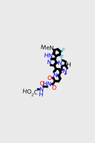 CNc1cc(F)c(F)c2c1[nH]c1ncc(-c3ccc4ccc(C(=O)NCC(=O)NCC(=O)O)c(=O)n4c3)c(N3CC[C@H]4CN(C)CC43)c12